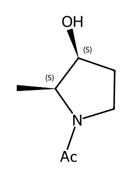 CC(=O)N1CC[C@H](O)[C@@H]1C